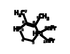 CCC[PH]1(CCC)CCPC(C)=C1C